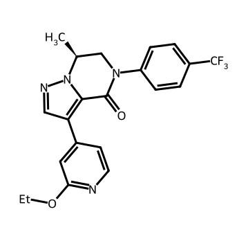 CCOc1cc(-c2cnn3c2C(=O)N(c2ccc(C(F)(F)F)cc2)C[C@@H]3C)ccn1